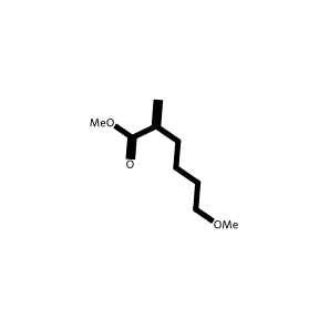 C=C(CCCCOC)C(=O)OC